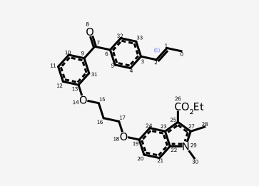 C/C=C/c1ccc(C(=O)c2cccc(OCCCOc3ccc4c(c3)c(C(=O)OCC)c(C)n4C)c2)cc1